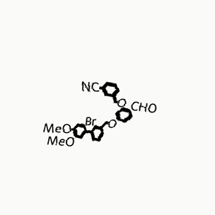 COc1ccc(-c2cccc(COc3ccc(C=O)c(OCc4cccc(C#N)c4)c3)c2Br)cc1OC